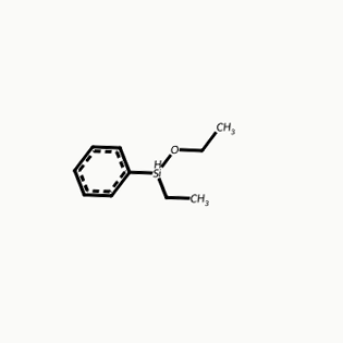 CCO[SiH](CC)c1ccccc1